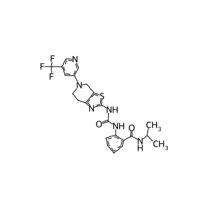 CC(C)NC(=O)c1ccccc1NC(=O)Nc1nc2c(s1)CN(c1cncc(C(F)(F)F)c1)CC2